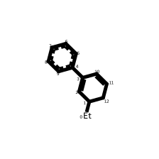 CCC1C=C(c2ccccc2)C=CC1